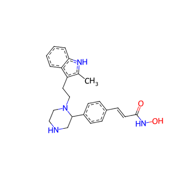 Cc1[nH]c2ccccc2c1CCN1CCNCC1c1ccc(C=CC(=O)NO)cc1